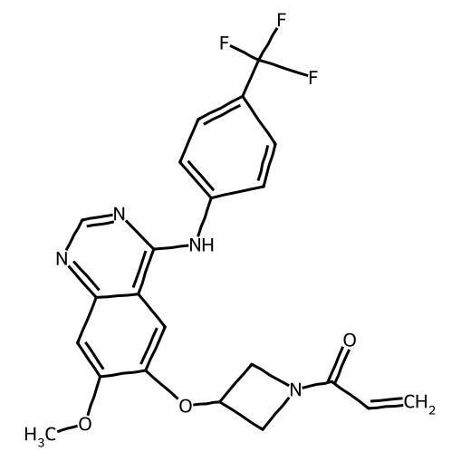 C=CC(=O)N1CC(Oc2cc3c(Nc4ccc(C(F)(F)F)cc4)ncnc3cc2OC)C1